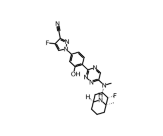 CN(c1cnc(-c2ccc(-n3cc(F)c(C#N)n3)cc2O)nn1)[C@H]1C[C@@H]2CCC[C@@](C)(N2)[C@H]1F